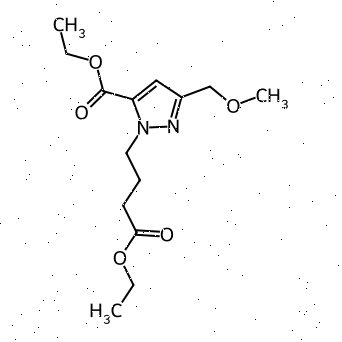 CCOC(=O)CCCn1nc(COC)cc1C(=O)OCC